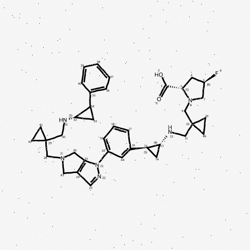 O=C(O)[C@@H]1C[C@@H](F)CN1CC1(CN[C@@H]2C[C@H]2c2cccc(-n3ncc4c3CN(CC3(CN[C@H]5CC5c5ccccc5)CC3)C4)c2)CC1